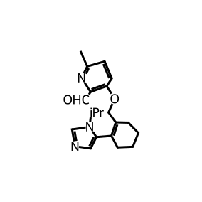 Cc1ccc(OCC2=C(c3cncn3C(C)C)CCCC2)c(C=O)n1